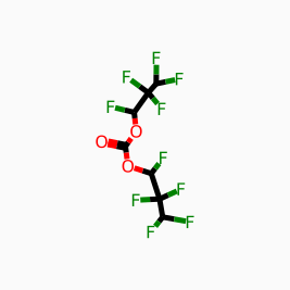 O=C(OC(F)C(F)(F)C(F)F)OC(F)C(F)(F)C(F)F